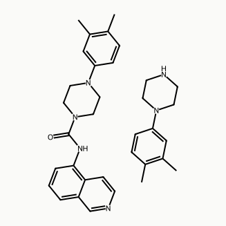 Cc1ccc(N2CCN(C(=O)Nc3cccc4cnccc34)CC2)cc1C.Cc1ccc(N2CCNCC2)cc1C